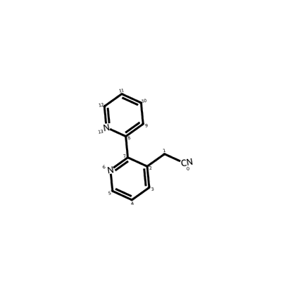 N#CCc1cccnc1-c1ccccn1